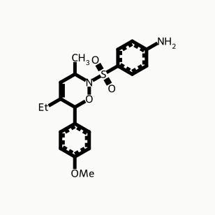 CCC1=CC(C)N(S(=O)(=O)c2ccc(N)cc2)OC1c1ccc(OC)cc1